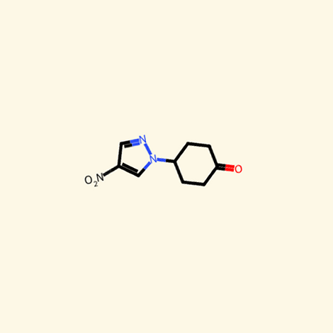 O=C1CCC(n2cc([N+](=O)[O-])cn2)CC1